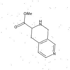 COC(=O)C1Cc2ccncc2CN1